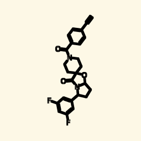 C#Cc1ccc(C(=O)N2CCC3(CC2)OC2CCC(c4cc(F)cc(F)c4)N2C3=O)cc1